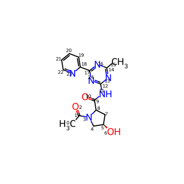 CC(=O)N1C[C@H](O)CC1C(=O)Nc1nc(C)nc(-c2ccccn2)n1